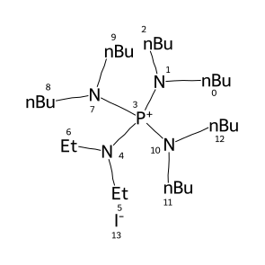 CCCCN(CCCC)[P+](N(CC)CC)(N(CCCC)CCCC)N(CCCC)CCCC.[I-]